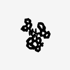 CC1(C)c2ccccc2-c2c(-c3c(-c4nc(-c5cc6ccccc6c6ccccc56)nc(-c5cc6ccccc6c6ccccc56)n4)ccc4ccccc34)cccc21